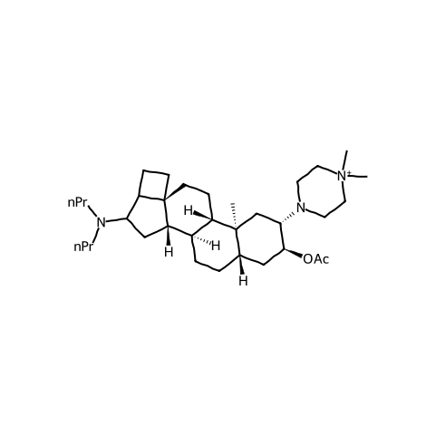 CCCN(CCC)C1C[C@H]2[C@@H]3CC[C@H]4C[C@H](OC(C)=O)[C@@H](N5CC[N+](C)(C)CC5)C[C@]4(C)[C@H]3CC[C@@]23CCC13